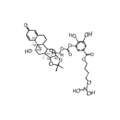 CC1(C)O[C@@H]2CC3C4CCC5=CC(=O)C=C[C@]5(C)[C@@]4(F)[C@@H](O)C[C@]3(C)[C@]2(C(=O)COC(=O)Oc2cc(C(=O)OCCCCON(O)O)cc(O)c2O)O1